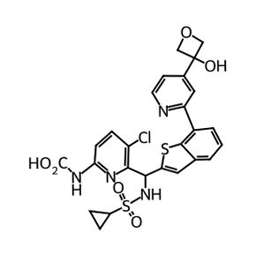 O=C(O)Nc1ccc(Cl)c(C(NS(=O)(=O)C2CC2)c2cc3cccc(-c4cc(C5(O)COC5)ccn4)c3s2)n1